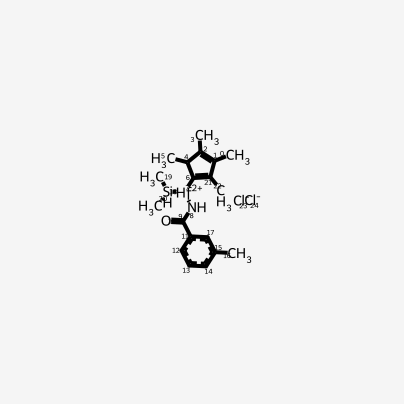 CC1=C(C)C(C)[C]([Hf+2]([NH]C(=O)c2cccc(C)c2)[SiH](C)C)=C1C.[Cl-].[Cl-]